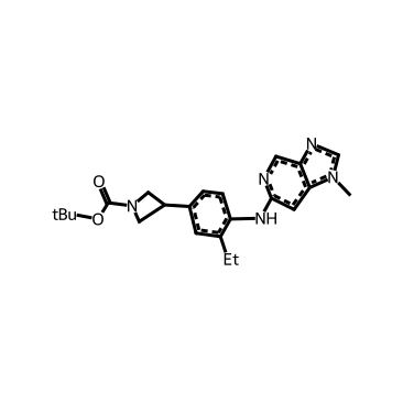 CCc1cc(C2CN(C(=O)OC(C)(C)C)C2)ccc1Nc1cc2c(cn1)ncn2C